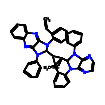 C=Cc1ccccc1N1c2nc3ccccc3nc2N(c2ccccc2)C1C1C2(C)c3ccccc3N3c4nccnc4N(c4ccccc4)C3C12C